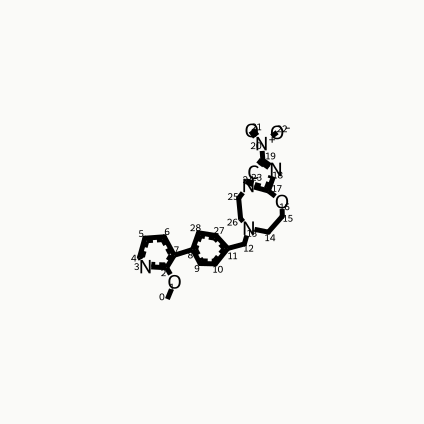 COc1ncccc1-c1ccc(CN2CCOc3nc([N+](=O)[O-])cn3CC2)cc1